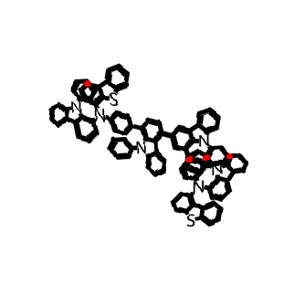 c1ccc(-n2c3ccccc3c3cc(-c4ccc(-c5ccc(N(c6cccc7c6sc6ccccc67)c6cccc7c8ccccc8n(-c8ccccc8)c67)cc5)c5c4c4ccccc4n5-c4ccccc4)cc(-c4ccc(N(c5cccc6sc7ccccc7c56)c5cccc6c7ccccc7n(-c7ccccc7)c56)cc4)c32)cc1